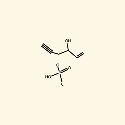 C#CCC(O)C=C.O=P(O)(Cl)Cl